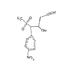 C#CCC(O)C(c1ccc([N+](=O)[O-])cc1)S(C)(=O)=O